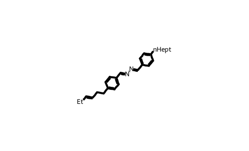 CCC=CCCc1ccc(C=NN=Cc2ccc(CCCCCCC)cc2)cc1